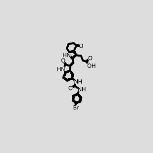 O=C(O)CCc1c(C=C2C(=O)Nc3ccc(NC(=O)Nc4ccc(Br)cc4)cc32)[nH]c2c1C(=O)CCC2